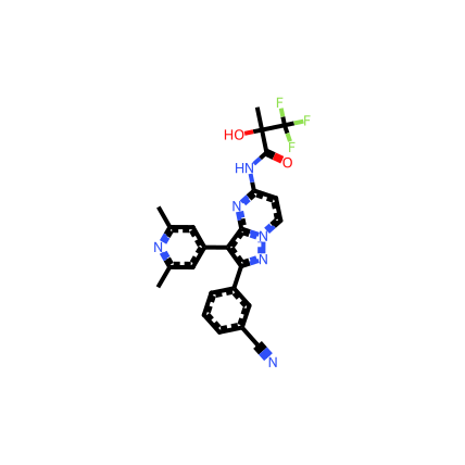 Cc1cc(-c2c(-c3cccc(C#N)c3)nn3ccc(NC(=O)C(C)(O)C(F)(F)F)nc23)cc(C)n1